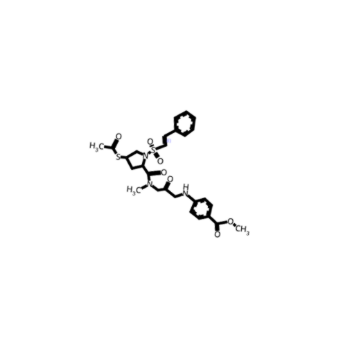 COC(=O)c1ccc(NCC(=O)CN(C)C(=O)C2CC(SC(C)=O)CN2S(=O)(=O)/C=C/c2ccccc2)cc1